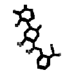 CC1CC(N(N)Cc2ccccc2C(F)F)=C(N)CN1c1cn[nH]c(=O)c1Cl